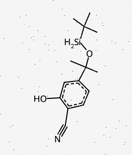 CC(C)(C)[SiH2]OC(C)(C)c1ccc(C#N)c(O)c1